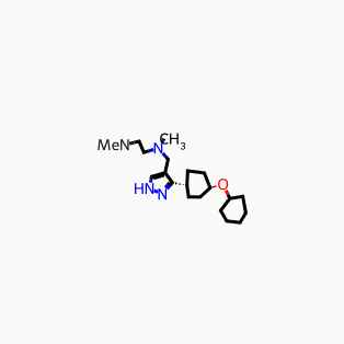 CNCCN(C)Cc1c[nH]nc1[C@H]1CC[C@@H](OC2CCCCC2)CC1